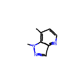 Cc1ccnc2cnn(C)c12